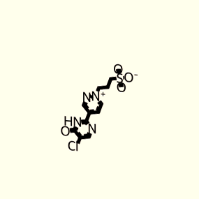 O=c1[nH]c(-c2cc[n+](CCCS(=O)(=O)[O-])nc2)ncc1Cl